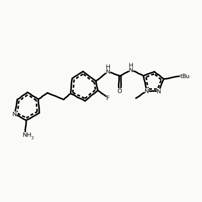 Cn1nc(C(C)(C)C)cc1NC(=O)Nc1ccc(CCc2ccnc(N)c2)cc1F